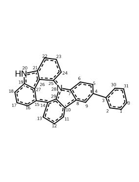 c1ccc(-c2ccc3c(c2)c2cccc4c5cccc6[nH]c7cccc(c7c65)n3c42)cc1